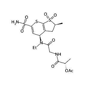 CCN(C(=O)CNC(=O)[C@H](C)OC(C)=O)[C@H]1C=C(S(N)(=O)=O)SC2=C1C[C@H](C)S2(=O)=O